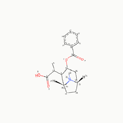 CC(C(=O)O)C1C(OC(=O)c2ccccc2)C[C@@H]2CC[C@H]1N2C